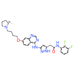 C[C@H]1CCCN1CCCCOc1ccc2c(Nc3cc(CC(=O)Nc4cccc(F)c4F)[nH]n3)ncnc2c1